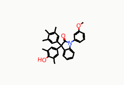 COc1cccc(N2C(=O)C(c3cc(C)c(C)c(C)c3)(c3cc(C)c(O)c(C)c3)c3ccccc32)c1